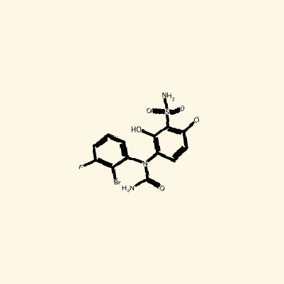 NC(=O)N(c1ccc(Cl)c(S(N)(=O)=O)c1O)c1cccc(F)c1Br